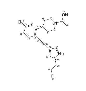 CC(O)N1CCN(c2cc(Cl)ncc2C#Cc2cnn(CCF)c2)CC1